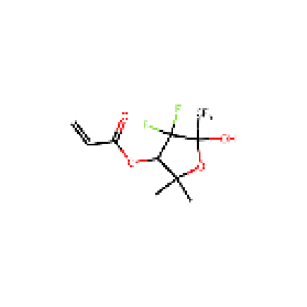 C=CC(=O)OC1C(C)(C)OC(O)(C(F)(F)F)C1(F)F